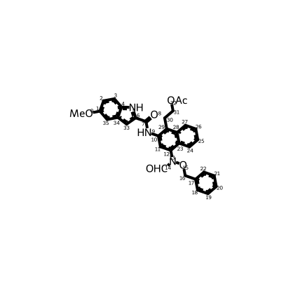 COc1ccc2[nH]c(C(=O)Nc3cc(N(C=O)OCc4ccccc4)c4ccccc4c3CCOC(C)=O)cc2c1